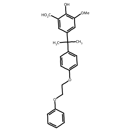 COc1cc(C(C)(C)c2ccc(OCCOc3ccccc3)cc2)cc(C(=O)O)c1O